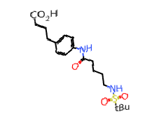 CC(C)(C)S(=O)(=O)NCCCCC(=O)Nc1ccc(CCCC(=O)O)cc1